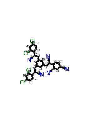 N#C/C(=C\c1cc(/C=C(\C#N)c2ccc(Cl)cc2Cl)cc(/C=C(\C#N)c2ccc(C#N)cc2C#N)c1)c1ccc(Cl)cc1Cl